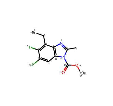 Cc1nc2c(CC(C)(C)C)c(F)c(F)cc2n1C(=O)OC(C)(C)C